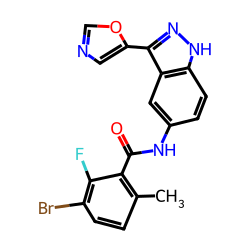 Cc1ccc(Br)c(F)c1C(=O)Nc1ccc2[nH]nc(-c3cnco3)c2c1